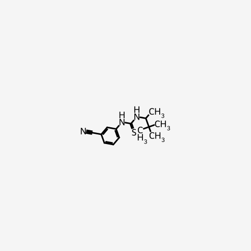 CC(NC(=S)Nc1cccc(C#N)c1)C(C)(C)C